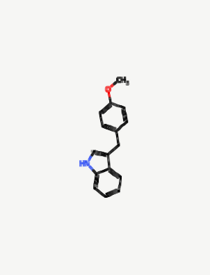 COc1ccc(Cc2[c][nH]c3ccccc23)cc1